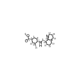 COC(=O)c1ccc(NCc2cccc3cccnc23)c(C)c1